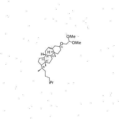 COC(CO[C@H]1CC[C@@]2(C)C(=CC[C@@H]3[C@@H]2CC[C@]2(C)C([C@H](C)CCCC(C)C)CC[C@@]32C)C1)OC